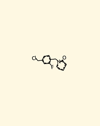 O=c1ccccn1Cc1ccc(CCl)cc1F